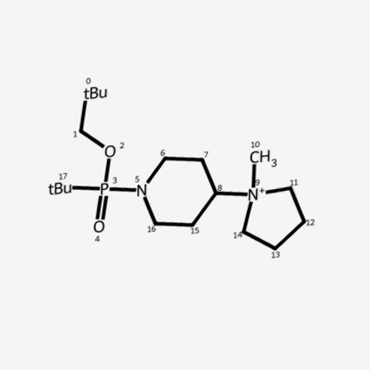 CC(C)(C)COP(=O)(N1CCC([N+]2(C)CCCC2)CC1)C(C)(C)C